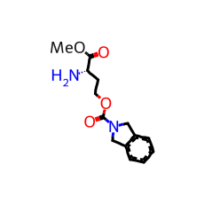 COC(=O)[C@@H](N)CCOC(=O)N1Cc2ccccc2C1